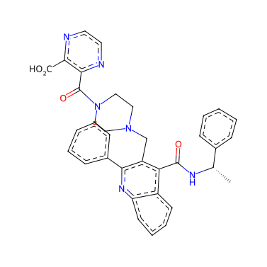 C[C@H](NC(=O)c1c(CN2CCN(C(=O)c3nccnc3C(=O)O)CC2)c(-c2ccccc2)nc2ccccc12)c1ccccc1